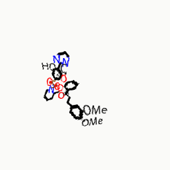 COc1ccc(CC[C@@H](OC(=O)C2CCCCN2S(=O)(=O)c2ccc(-c3ncccn3)cc2)c2cccc(OCC(=O)O)c2)cc1OC